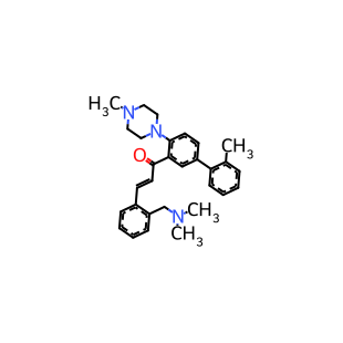 Cc1ccccc1-c1ccc(N2CCN(C)CC2)c(C(=O)C=Cc2ccccc2CN(C)C)c1